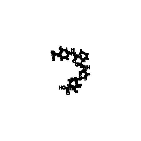 Cc1cc(NC(=O)N2CCC[C@H]2C(=O)Nc2ccn(-c3ccc(C(=O)O)c(C)c3F)n2)ccc1C(C)C